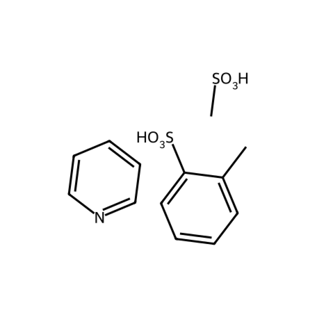 CS(=O)(=O)O.Cc1ccccc1S(=O)(=O)O.c1ccncc1